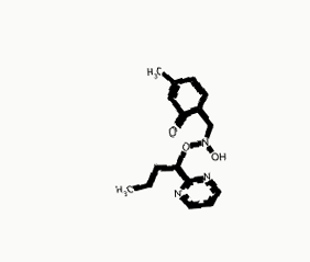 CCCC(ON(O)CC1C=CC(C)=CC1=O)c1ncccn1